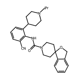 CC(C)N1CCC(c2cccc(C#N)c2NC(=O)N2CCC3(CC2)OCc2ccccc23)CC1